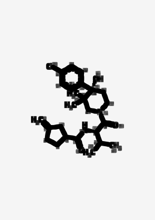 C=C1CCC(C(=O)N[C@@H](C(=O)N2CC[C@](O)(c3ccc(Cl)cc3)C(C)(C)C2)C(C)C)C1